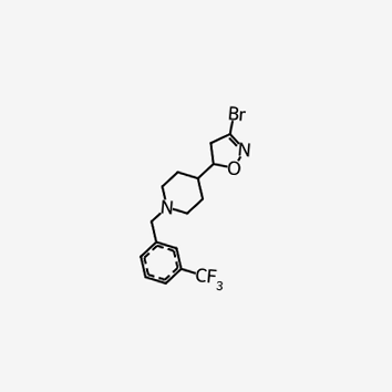 FC(F)(F)c1cccc(CN2CCC(C3CC(Br)=NO3)CC2)c1